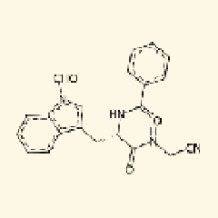 N#CCNC(=O)[C@H](Cc1cn(C=O)c2ccccc12)NC(=O)c1ccccc1